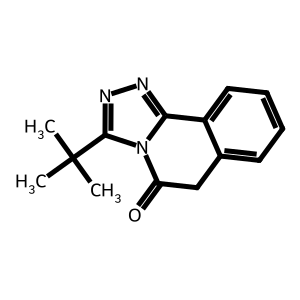 CC(C)(C)c1nnc2n1C(=O)Cc1ccccc1-2